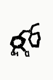 CCN(Cc1ccc(O)c(Cl)c1)C1CCCCC1